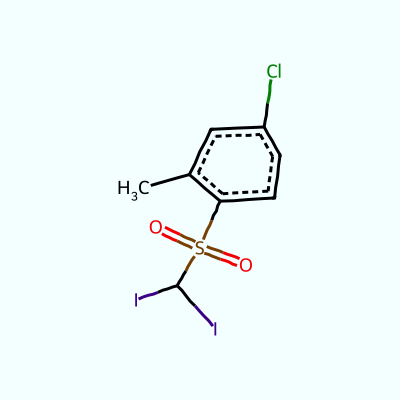 Cc1cc(Cl)ccc1S(=O)(=O)C(I)I